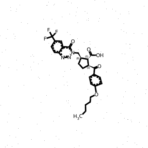 CCCCCOc1ccc(C(=O)[C@H]2CC[C@@H](Cn3nnc4ccc(C(F)(F)F)cc4c3=O)[C@@H]2C(=O)O)cc1